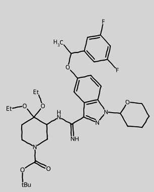 CCOC1(OCC)CCN(C(=O)OC(C)(C)C)CC1NC(=N)c1nn(C2CCCCO2)c2ccc(OC(C)c3cc(F)cc(F)c3)cc12